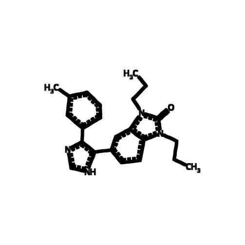 CCCn1c(=O)n(CCC)c2cc(-c3[nH]cnc3-c3cccc(C)c3)ccc21